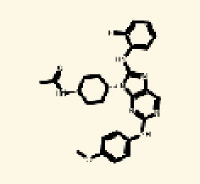 COc1ccc(Nc2ncc3nc(Nc4ccccc4F)n([C@H]4CC[C@H](NC(C)=O)CC4)c3n2)cc1